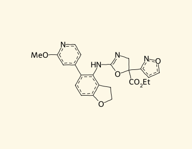 CCOC(=O)C1(c2ccon2)CN=C(Nc2c(-c3ccnc(OC)c3)ccc3c2CCO3)O1